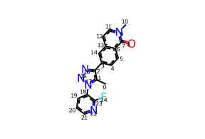 Cc1c(-c2ccc3c(=O)n(C)ccc3c2)nnn1-c1cccnc1F